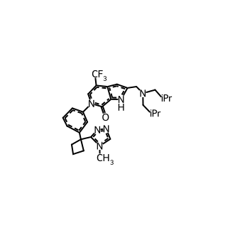 CC(C)CN(Cc1cc2c(C(F)(F)F)cn(-c3cccc(C4(c5nncn5C)CCC4)c3)c(=O)c2[nH]1)CC(C)C